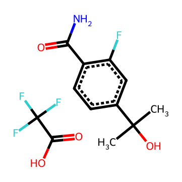 CC(C)(O)c1ccc(C(N)=O)c(F)c1.O=C(O)C(F)(F)F